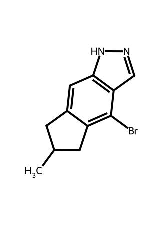 CC1Cc2cc3[nH]ncc3c(Br)c2C1